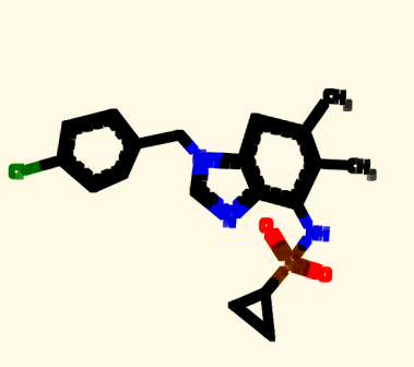 Cc1cc2c(ncn2Cc2ccc(Cl)cc2)c(NS(=O)(=O)C2CC2)c1C